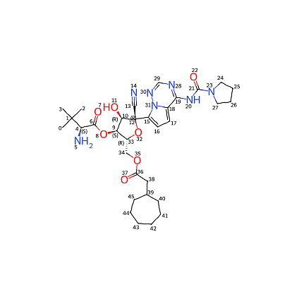 CC(C)(C)[C@H](N)C(=O)O[C@H]1[C@@H](O)[C@](C#N)(c2ccc3c(NC(=O)N4CCCC4)ncnn23)O[C@@H]1COC(=O)CC1CCCCCC1